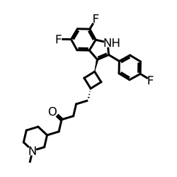 CN1CCCC(CC(=O)CCC[C@H]2C[C@H](c3c(-c4ccc(F)cc4)[nH]c4c(F)cc(F)cc43)C2)C1